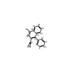 Cc1nc(C#N)c(-c2ccccc2)c2ccccc12